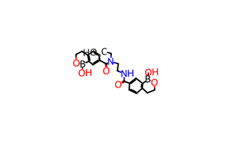 O=C(O)CN(CCNC(=O)c1ccc2c(c1)B(O)OCC2)C(=O)c1ccc2c(c1)B(O)OCC2